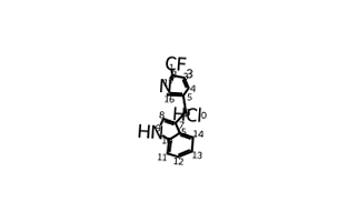 Cl.FC(F)(F)c1ccc([CH]c2c[nH]c3ccccc23)cn1